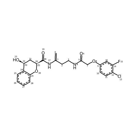 C=C(CCNC(=O)COc1ccc(Cl)c(F)c1)NC(=O)[C@@H]1C[C@H](O)c2ccccc2O1